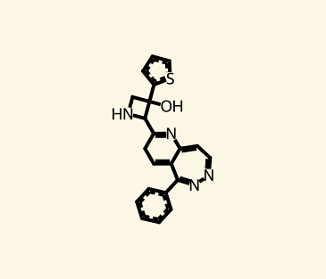 OC1(c2cccs2)CNC1C1=NC2=CC=NN=C(c3ccccc3)C2=CC1